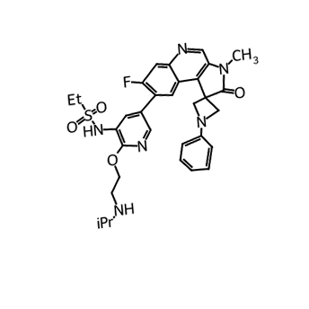 CCS(=O)(=O)Nc1cc(-c2cc3c4c(cnc3cc2F)N(C)C(=O)C42CN(c3ccccc3)C2)cnc1OCCNC(C)C